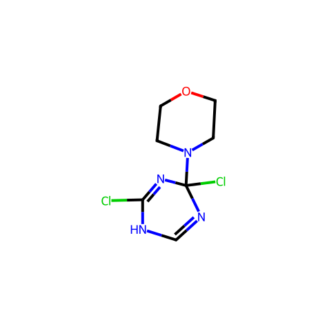 ClC1=NC(Cl)(N2CCOCC2)N=CN1